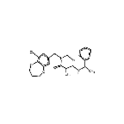 CC(C)CN(Cc1cc(Cl)c2c(c1)OCCCO2)C(=O)C(C)CNC(C)c1ccccc1